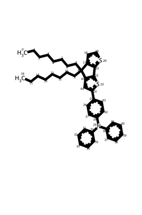 CCCCCCCCC1(CCCCCCCC)c2ccsc2-c2sc(-c3ccc(N(c4ccccc4)c4ccccc4)cc3)cc21